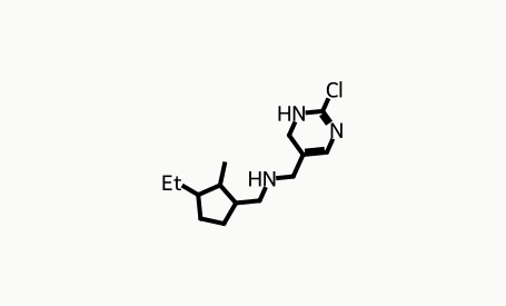 CCC1CCC(CNCC2=CN=C(Cl)NC2)C1C